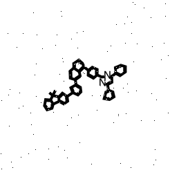 CC1(C)c2ccccc2-c2ccc(-c3cccc(-c4ccc5cccc(-c6ccc(-c7nc(-c8ccccc8)cc(-c8ccccc8)n7)cc6)c5c4)c3)cc21